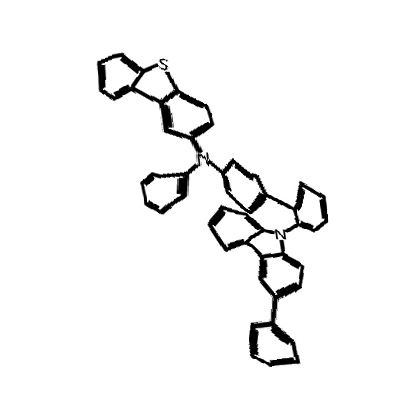 c1ccc(-c2ccc3c(c2)c2ccccc2n3-c2ccccc2-c2ccc(N(c3ccccc3)c3ccc4sc5ccccc5c4c3)cc2)cc1